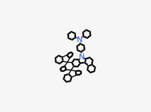 c1ccc(N(c2ccccc2)c2ccc(-n3c4cc5c(cc4c4c6ccccc6ccc43)C3(c4ccccc4-c4ccccc43)c3ccccc3C53c4ccccc4-c4ccccc43)cc2)cc1